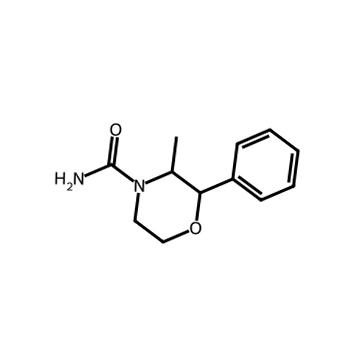 CC1C(c2ccccc2)OCCN1C(N)=O